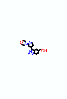 OCc1ccc2[nH]nc(-c3ccnc(N4CCOCC4)c3)c2c1